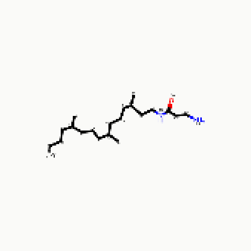 CC(C)CCCC(C)CCCC(C)CCCC(C)CCNC(=O)CCN